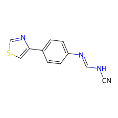 N#CN/C=N/c1ccc(-c2cscn2)cc1